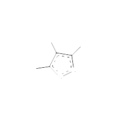 CCc1n[nH]c(CC)c1C(C)(C)C